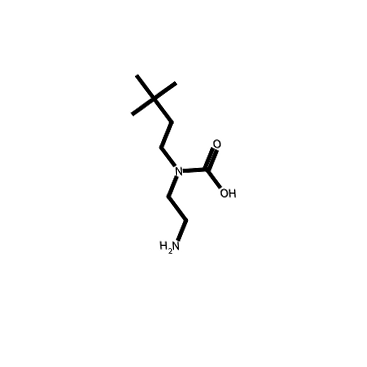 CC(C)(C)CCN(CCN)C(=O)O